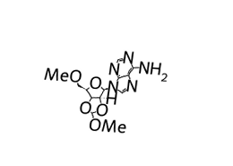 COC[C@H]1O[C@@H](n2cnc3c(N)ncnc32)[C@H]2OC(OC)OC12